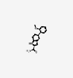 COc1ccccc1-c1ccc2[nH]c(C(N)=O)cc2c1